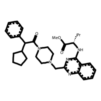 COC(=O)[C@@H](Nc1nc(CN2CCN(C(=O)C(c3ccccc3)C3CCCC3)CC2)nc2ccccc12)C(C)C